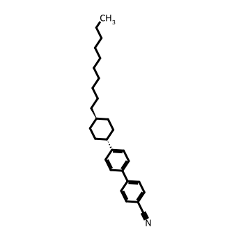 CCCCCCCCCC[C@H]1CC[C@H](c2ccc(-c3ccc(C#N)cc3)cc2)CC1